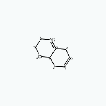 C1=CCC2OCC[N+]=C2C1